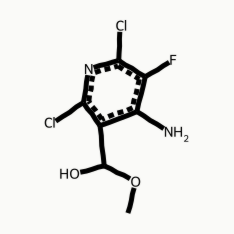 COC(O)c1c(Cl)nc(Cl)c(F)c1N